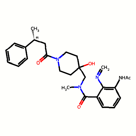 C=Nc1c(NC(C)=O)cccc1C(=O)N(C)CC1(O)CCN(C(=O)C[C@@H](C)c2ccccc2)CC1